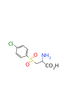 NC(CS(=O)(=O)c1ccc(Cl)cc1)C(=O)O